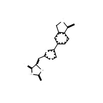 O=C1NC(=S)N/C1=C\c1nc(-c2ccc3c(c2)COC3=O)cs1